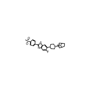 Cn1c(-c2ccc(S(C)(=O)=O)cc2)nc2cc(F)c(C3CCN(C4CC5CCC(C4)N5)CC3)cc21